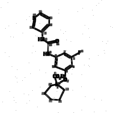 CCOC(=O)[N+]1(Oc2cc(F)cc(NC(=O)Nc3cccnc3)c2)CCCCC1